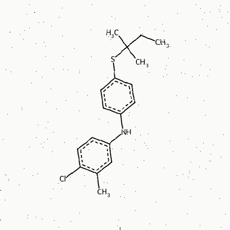 CCC(C)(C)Sc1ccc(Nc2ccc(Cl)c(C)c2)cc1